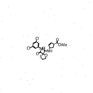 COC(=O)[C@@H]1C=C[C@H](NC(=O)C2(C(=O)Nc3cc(Cl)cc(Cl)c3)OCCS2)C1